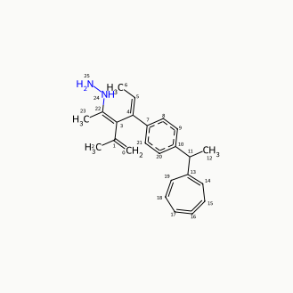 C=C(C)C(/C(=C\C)c1ccc(C(C)C2=CC=C=CC=C2)cc1)=C(\C)NN